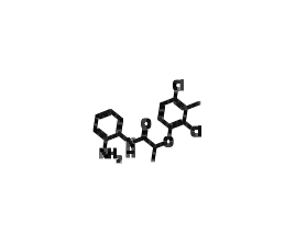 Cc1c(Cl)ccc(OC(C)C(=O)Nc2ccccc2N)c1Cl